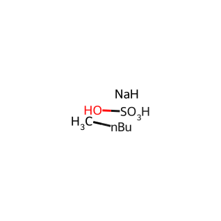 CCCCC.O=S(=O)(O)O.[NaH]